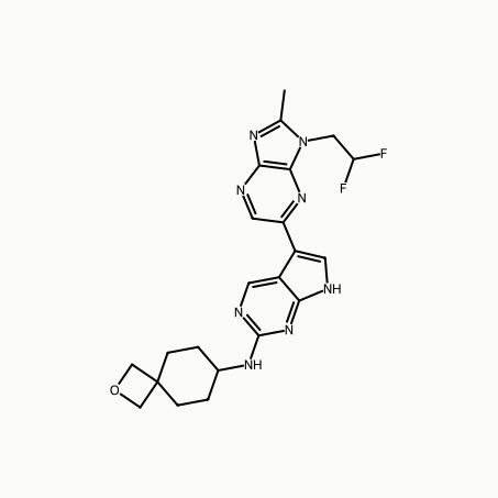 Cc1nc2ncc(-c3c[nH]c4nc(NC5CCC6(CC5)COC6)ncc34)nc2n1CC(F)F